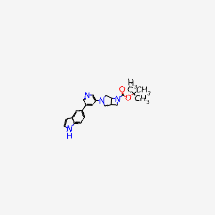 CC(C)(C)OC(=O)N1CC2CN(c3cncc(-c4ccc5[nH]ccc5c4)c3)CC21